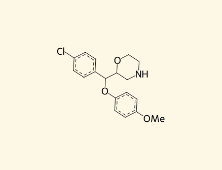 COc1ccc(OC(c2ccc(Cl)cc2)C2CNCCO2)cc1